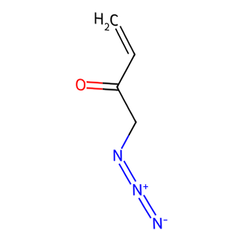 C=CC(=O)CN=[N+]=[N-]